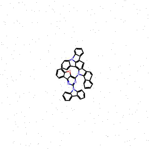 c1ccc2c(c1)ccc1c3cc4c5ccccc5n5c6ccccc6c(c3n(-c3nc(-n6c7ccccc7c7ccccc76)nc6c3oc3ccccc36)c21)c45